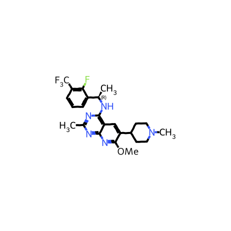 COc1nc2nc(C)nc(N[C@H](C)c3cccc(C(F)(F)F)c3F)c2cc1C1CCN(C)CC1